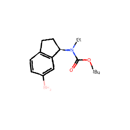 Bc1ccc2c(c1)[C@H](N(CC)C(=O)OC(C)(C)C)CC2